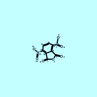 O=C1OC(=O)c2c([N+](=O)[O-])ccc([N+](=O)[O-])c21